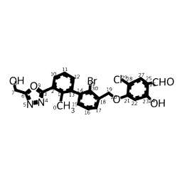 Cc1c(-c2nnc(CO)o2)cccc1-c1cccc(COc2cc(O)c(C=O)cc2Cl)c1Br